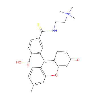 Cc1ccc2c(-c3cc(C(=S)NCC[N+](C)(C)C)ccc3C(=O)O)c3ccc(=O)cc-3oc2c1